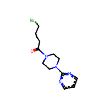 O=C(CCCBr)N1CCN(c2ncccn2)CC1